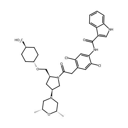 C[C@@H]1CN([C@H]2C[C@@H](CO[C@H]3CC[C@H](C(=O)O)CC3)N(C(=O)Cc3cc(Cl)c(NC(=O)c4c[nH]c5ccccc45)cc3Cl)C2)C[C@H](C)O1